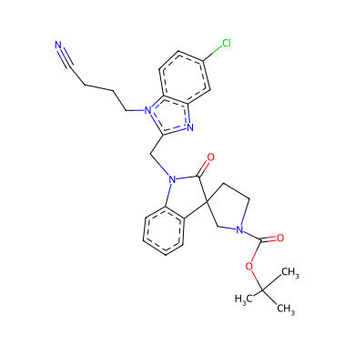 CC(C)(C)OC(=O)N1CCC2(C1)C(=O)N(Cc1nc3cc(Cl)ccc3n1CCCC#N)c1ccccc12